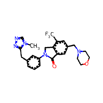 Cn1cnnc1Cc1cccc(N2Cc3c(cc(CN4CCOCC4)cc3C(F)(F)F)C2=O)c1